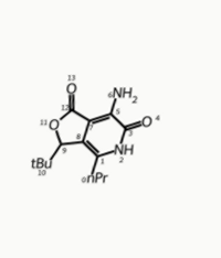 CCCc1[nH]c(=O)c(N)c2c1C(C(C)(C)C)OC2=O